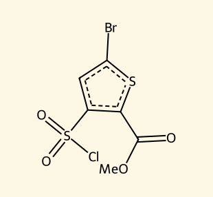 COC(=O)c1sc(Br)cc1S(=O)(=O)Cl